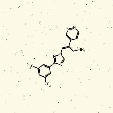 NC/C(=C\n1cnc(-c2cc(C(F)(F)F)cc(C(F)(F)F)c2)n1)c1ccnnc1